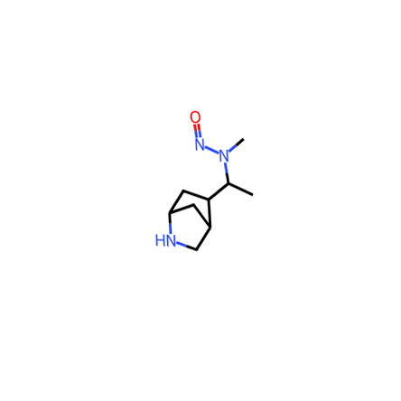 CC(C1CC2CC1CN2)N(C)N=O